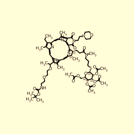 CCC1=C(C)c2cc3[nH]c(cc4nc(c5c6[nH]c(cc1n2)c(C)c6C(=O)N(CCN1CCOCC1)C5=O)[C@@H](CCC(=O)N(C)CCCS[C@@H]1O[C@H](COC(C)=O)[C@@H](OC(C)=O)[C@H](OC(C)=O)[C@H]1OC(C)=O)[C@@H]4C)c(C)c3C(C)OCCOCCNC(=O)OC(C)(C)C